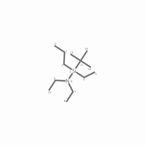 CCC[Si](CC)(N(CC)CC)C(C)(C)C